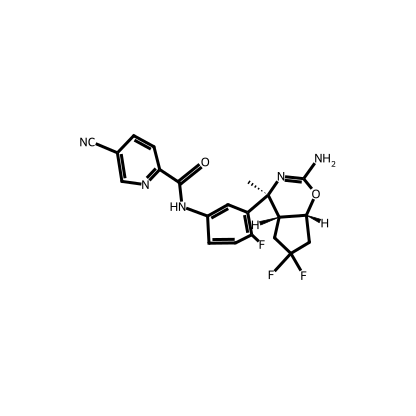 C[C@]1(c2cc(NC(=O)c3ccc(C#N)cn3)ccc2F)N=C(N)O[C@@H]2CC(F)(F)C[C@@H]21